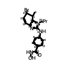 CC1c2c(nc(Nc3ccc(C(=O)NO)cc3)n2C(C)C)C=CC1Br